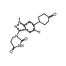 Cn1nc(N2CCC(=O)NC2=O)c2cc(F)c(C3CCC(=O)CC3)cc21